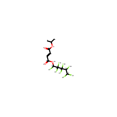 CC(C)OC(=O)C=CC(=O)OC(F)C(F)(F)C(F)(F)C(F)C(F)F